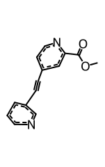 COC(=O)c1cc(C#Cc2cccnc2)ccn1